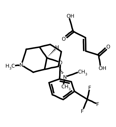 CN1CC2CC[C@H](N(C)C)C(C1)[C@@H]2Oc1cccc(C(F)(F)F)c1.O=C(O)/C=C/C(=O)O